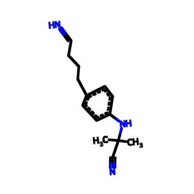 CC(C)(C#N)Nc1ccc(CCCC=N)cc1